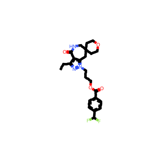 CCc1nn(CCCOC(=O)c2ccc(C(F)F)cc2)c2c1C(=O)NCC1(CCOCC1)C2